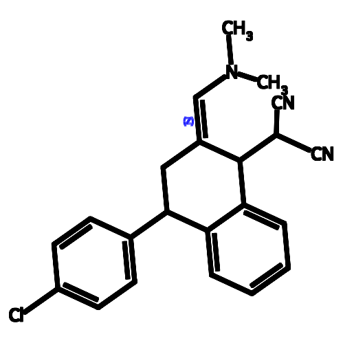 CN(C)/C=C1/CC(c2ccc(Cl)cc2)c2ccccc2C1C(C#N)C#N